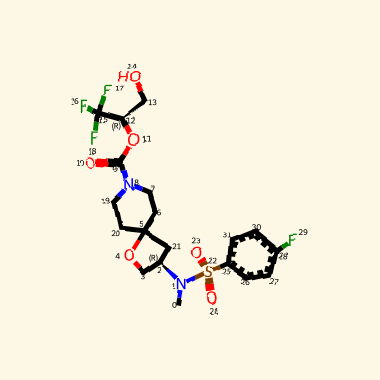 CN([C@H]1COC2(CCN(C(=O)O[C@H](CO)C(F)(F)F)CC2)C1)S(=O)(=O)c1ccc(F)cc1